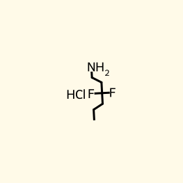 CCCC(F)(F)CCN.Cl